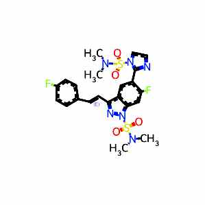 CN(C)S(=O)(=O)n1ccnc1-c1cc2c(/C=C/c3ccc(F)cc3)nn(S(=O)(=O)N(C)C)c2cc1F